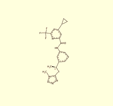 C[C@H](Sc1nncn1C)c1cccc(NC(=O)c2cc(C3CC3)cc(C(F)(F)F)n2)c1